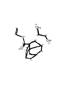 C=COC(=O)C12CC3CC(CC(C3)C1)C2.OCCO